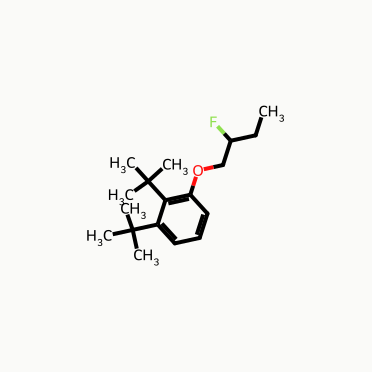 CCC(F)COc1cccc(C(C)(C)C)c1C(C)(C)C